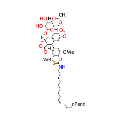 CCCCC/C=C\C/C=C\CCCCCCCCNC(=S)Oc1c(OC)cc([C@@H]2c3cc4c(cc3[C@@H](O[C@@H]3O[C@@H]5CO[C@@H](C)O[C@H]5[C@H](O)[C@H]3O)[C@H]3COC(=O)[C@H]23)OCO4)cc1OC